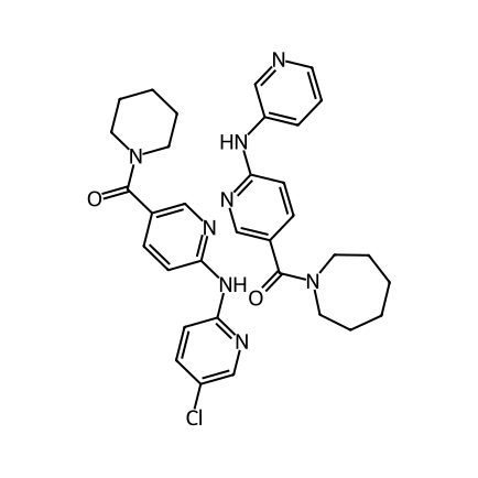 O=C(c1ccc(Nc2ccc(Cl)cn2)nc1)N1CCCCC1.O=C(c1ccc(Nc2cccnc2)nc1)N1CCCCCC1